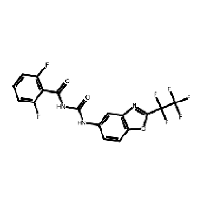 O=C(NC(=O)c1c(F)cccc1F)Nc1ccc2oc(C(F)(F)C(F)(F)F)nc2c1